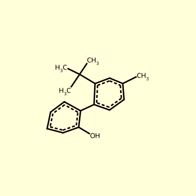 Cc1ccc(-c2ccccc2O)c(C(C)(C)C)c1